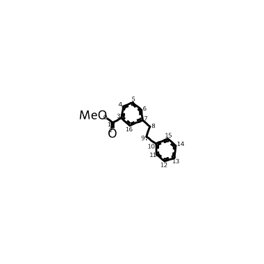 COC(=O)c1cccc(C[CH]c2ccccc2)c1